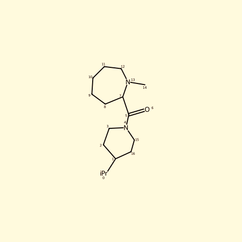 CC(C)C1CCN(C(=O)C2CCCCCN2C)CC1